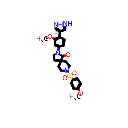 COc1ccc(S(=O)(=O)N2CCC3(CCN(c4ccc(/C(C=N)=C/N)c(OC)c4)C3=O)CC2)cc1